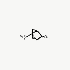 CC1CCC2(C)CC12